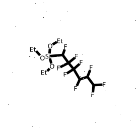 CCO[Si](OCC)(OCC)C(F)C(F)(F)C(F)(F)C(F)C(F)C(F)F